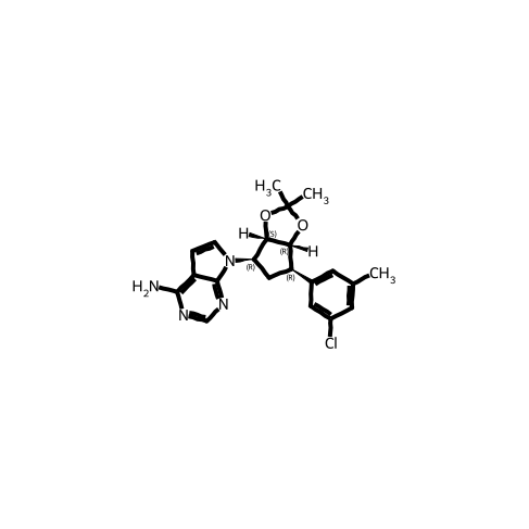 Cc1cc(Cl)cc([C@H]2C[C@@H](n3ccc4c(N)ncnc43)[C@@H]3OC(C)(C)O[C@@H]32)c1